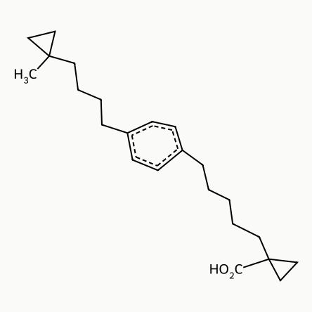 CC1(CCCCc2ccc(CCCCCC3(C(=O)O)CC3)cc2)CC1